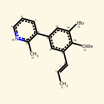 C/C=C/c1cc(-c2cccnc2C)cc(C(C)(C)C)c1OC